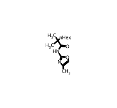 CCCCCCC(C)(C)C(=O)Nc1nc(C)co1